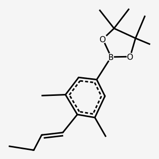 CC/C=C/c1c(C)cc(B2OC(C)(C)C(C)(C)O2)cc1C